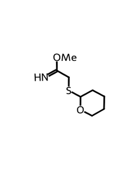 COC(=N)CSC1CCCCO1